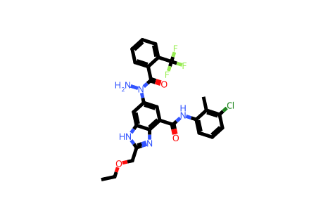 CCOCc1nc2c(C(=O)Nc3cccc(Cl)c3C)cc(N(N)C(=O)c3ccccc3C(F)(F)F)cc2[nH]1